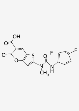 CN(C(=O)Nc1ccc(F)cc1F)c1cc2oc(=O)c(C(=O)O)cc2s1